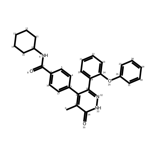 Cc1c(-c2ccc(C(=O)NC3CCCCC3)cc2)c(-c2ccccc2Oc2ccccc2)n[nH]c1=O